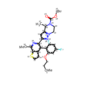 COCCOc1cc(F)cc(F)c1-c1c(-c2cc3n(n2)CCN(C(=O)OC(C)(C)C)[C@@H]3C)nc(OC)c2sccc12